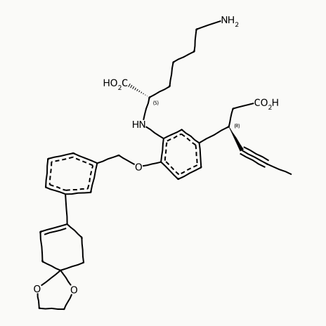 CC#C[C@H](CC(=O)O)c1ccc(OCc2cccc(C3=CCC4(CC3)OCCO4)c2)c(N[C@@H](CCCCN)C(=O)O)c1